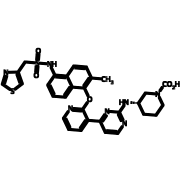 Cc1ccc2c(NS(=O)(=O)Cc3cscn3)cccc2c1Oc1ncccc1-c1ccnc(N[C@H]2CCCN(C(=O)O)C2)n1